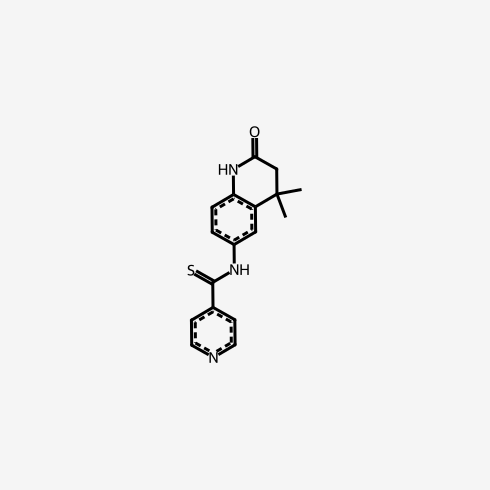 CC1(C)CC(=O)Nc2ccc(NC(=S)c3ccncc3)cc21